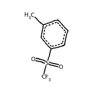 Cc1[c]ccc(S(=O)(=O)C(F)(F)F)c1